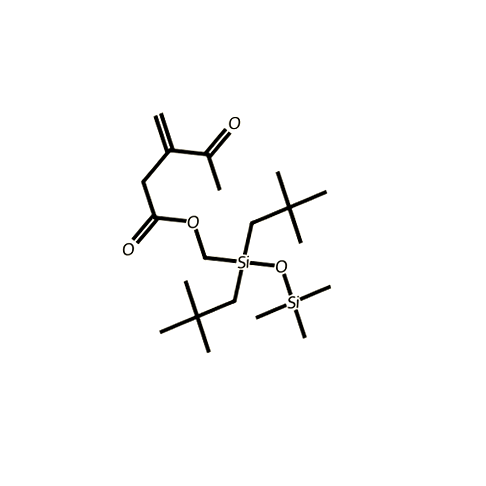 C=C(CC(=O)OC[Si](CC(C)(C)C)(CC(C)(C)C)O[Si](C)(C)C)C(C)=O